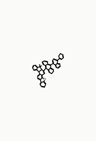 CC1(C)c2ccccc2C2c3ccc4c(oc5ccccc54)c3C=C(c3c4c(c(-c5ccc(C6=CC=CCC6)c6ccccc56)c5ccccc35)=CCCC=4)C21